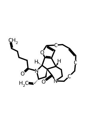 C=CCCCC(=O)N1[C@H]2c3oc4cc3[C@@H]3CCN(CCCC/C=C\CC4)C(=O)[C@]23C[C@@H]1C=C